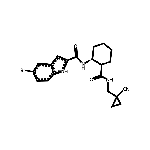 N#CC1(CNC(=O)[C@@H]2CCCC[C@@H]2NC(=O)c2cc3cc(Br)ccc3[nH]2)CC1